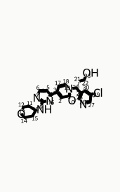 O=c1cc(-c2ccnc(NC3CCOCC3)n2)ccn1[C@H](CCO)c1cncc(Cl)c1